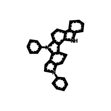 c1ccc(-n2ccc3c2ccc2c4c5[nH]c6ccccc6c5ccc4n(-c4ccccc4)c23)cc1